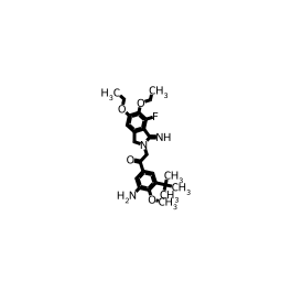 CCOc1cc2c(c(F)c1OCC)C(=N)N(CC(=O)c1cc(N)c(OC)c(C(C)(C)C)c1)C2